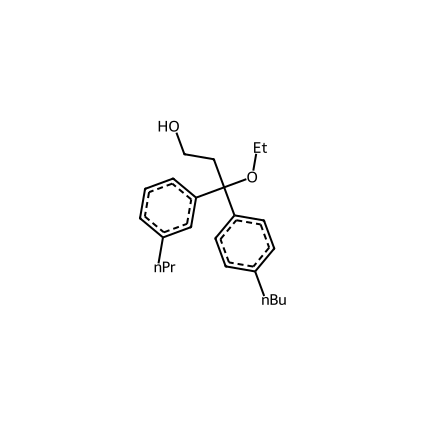 CCCCc1ccc(C(CCO)(OCC)c2cccc(CCC)c2)cc1